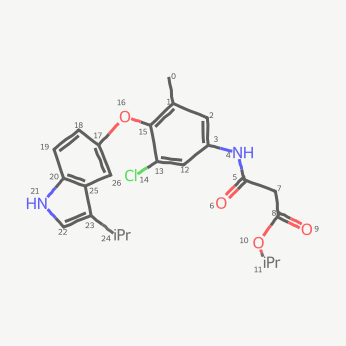 Cc1cc(NC(=O)CC(=O)OC(C)C)cc(Cl)c1Oc1ccc2[nH]cc(C(C)C)c2c1